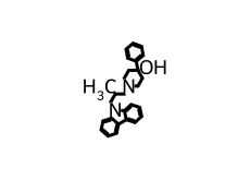 C[C@H](CN1CCC(O)(c2ccccc2)CC1)Cn1c2ccccc2c2ccccc21